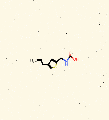 C=CCc1csc(CNC(=O)O)c1